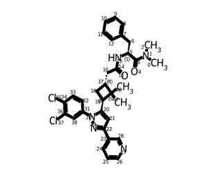 CN(C)C(=O)[C@H](Cc1ccccc1)NC(=O)C[C@H]1C[C@H](c2cc(-c3cccnc3)nn2-c2ccc(Cl)c(Cl)c2)C1(C)C